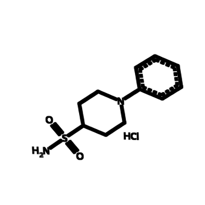 Cl.NS(=O)(=O)C1CCN(c2ccccc2)CC1